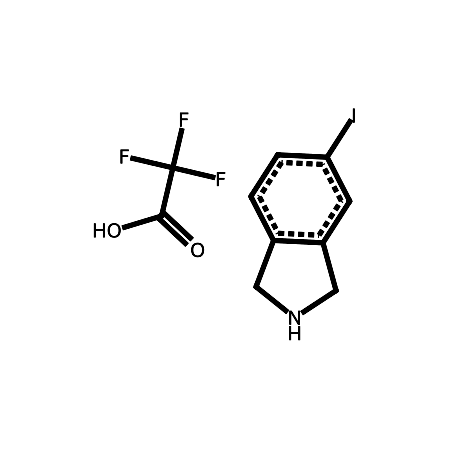 Ic1ccc2c(c1)CNC2.O=C(O)C(F)(F)F